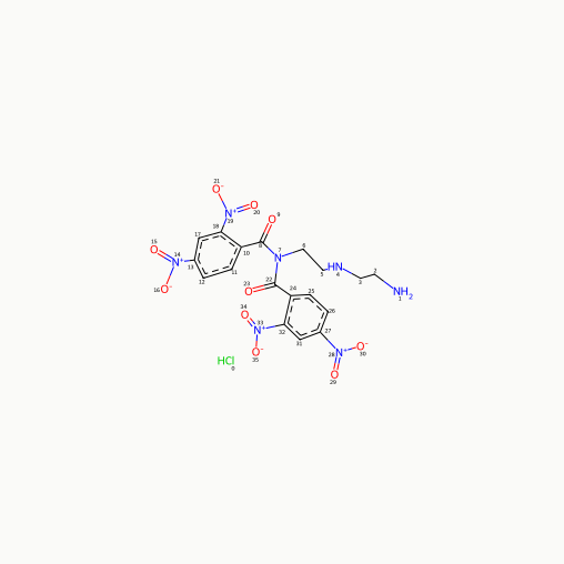 Cl.NCCNCCN(C(=O)c1ccc([N+](=O)[O-])cc1[N+](=O)[O-])C(=O)c1ccc([N+](=O)[O-])cc1[N+](=O)[O-]